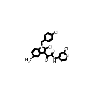 Cc1ccc2c(c1)c(C(=O)C(=O)Nc1ccnc(Cl)c1)c(Cl)n2Cc1ccc(Cl)cc1